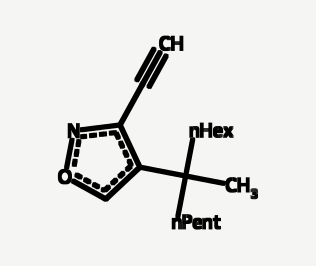 C#Cc1nocc1C(C)(CCCCC)CCCCCC